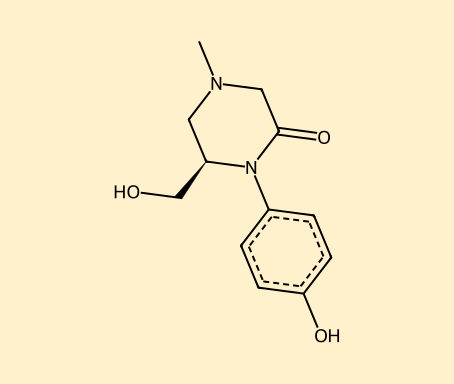 CN1CC(=O)N(c2ccc(O)cc2)[C@@H](CO)C1